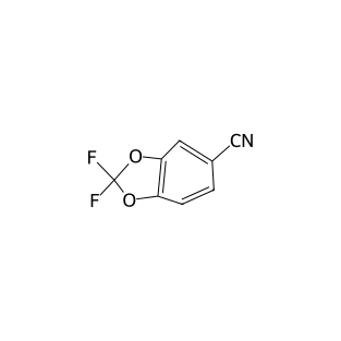 N#Cc1ccc2c(c1)OC(F)(F)O2